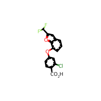 O=C(O)c1ccc(Oc2cccc3cc(C(F)F)oc23)cc1Cl